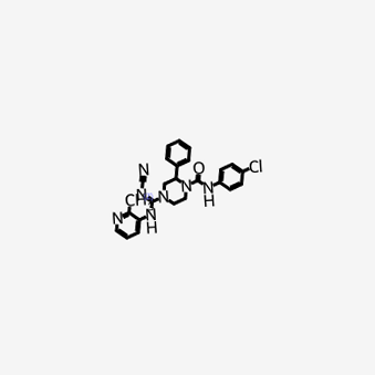 Cc1ncccc1N/C(=N/C#N)N1CCN(C(=O)Nc2ccc(Cl)cc2)C(c2ccccc2)C1